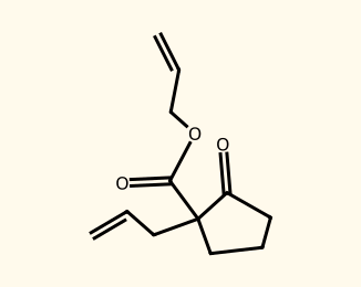 C=CCOC(=O)C1(CC=C)CCCC1=O